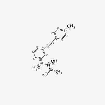 Cc1ccc(C#Cc2cccc(C(C)N(O)C(N)=O)c2)cc1